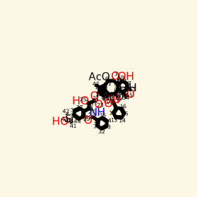 CC(=O)O[C@H]1C(=O)[C@@]2(C)[C@H]([C@H](OC(=O)c3ccccc3)[C@]3(O)C[C@H](OC(=O)[C@H](O)[C@@H](NC(=O)c4ccccc4)c4ccc([Si](C)(C)O)cc4)C(C)=C1C3(C)C)[C@]1(OC(C)=O)CO[C@@H]1C[C@@H]2O